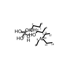 CCCO.CCCO.C[CH2][Al]([CH2]C)[CH2]C.O[Si](O)(O)O